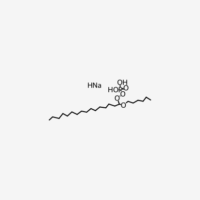 CCCCCCCCCCCCCCCC(OCCCCCC)OOP(=O)(O)O.[NaH]